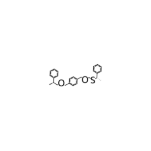 C[C@H](COCc1ccc(COCS[C@@H](C)c2ccccc2)cc1)c1ccccc1